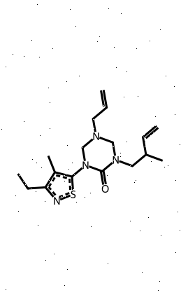 C=CCN1CN(CC(C)C=C)C(=O)N(c2snc(CC)c2C)C1